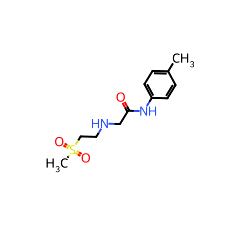 Cc1ccc(NC(=O)CNCCS(C)(=O)=O)cc1